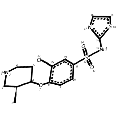 C[C@H]1CNCCC1Oc1ccc(S(=O)(=O)Nc2nccs2)cc1Cl